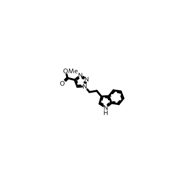 COC(=O)c1cn(CCc2c[nH]c3ccccc23)nn1